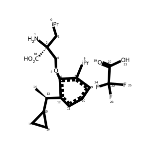 CC(C)C[C@](N)(COc1c(C(C)C)cccc1[C@H](C)C1CC1)C(=O)O.O=C(O)C(F)(F)F